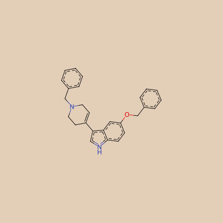 C1=C(c2c[nH]c3ccc(OCc4ccccc4)cc23)CCN(Cc2ccccc2)C1